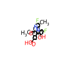 COCC(C)(C)c1c(-c2ccc(C(=O)O)cc2)c2c(O)cc(F)cc2n1-c1cc(C)c(F)cn1